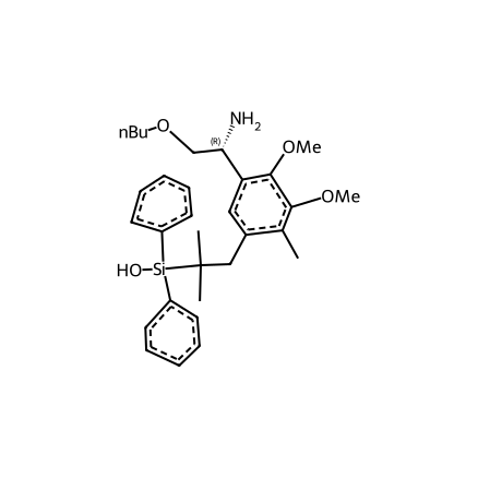 CCCCOC[C@H](N)c1cc(CC(C)(C)[Si](O)(c2ccccc2)c2ccccc2)c(C)c(OC)c1OC